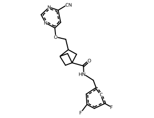 N#Cc1cc(OCC2CC3(C(=O)NCc4cc(F)cc(F)c4)CC2C3)ncn1